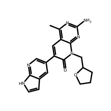 Cc1nc(N)nc2c1cc(-c1cnc3[nH]ccc3c1)c(=O)n2CC1CCCO1